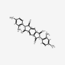 Cc1ccc(-n2c(=O)c3cc4c(=O)n(-c5ccc(C)cc5N)c(=O)c4cc3c2=O)c(N)c1